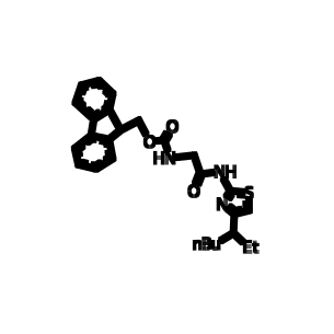 CCCCC(CC)c1csc(NC(=O)CNC(=O)OCC2c3ccccc3-c3ccccc32)n1